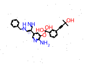 CC(C)(O)C#Cc1cccc(C(O)(O)Oc2cc(/C(C=N)=C/NCc3ccccc3)cnc2N)c1